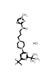 Cl.Cn1cnc([S+]([O-])CCCN2CCN(c3cc(C(F)(F)F)nc(C(C)(C)C)n3)CC2)n1